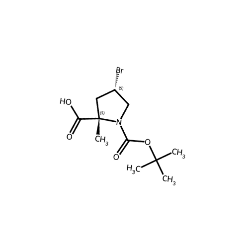 CC(C)(C)OC(=O)N1C[C@@H](Br)C[C@@]1(C)C(=O)O